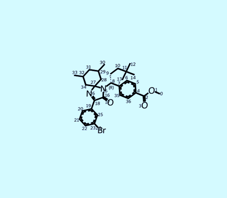 COC(=O)c1ccc([C@@H](CCC(C)(C)C)N2C(=O)C(c3cccc(Br)c3)=NC23CC(C)CC(C)C3)cc1